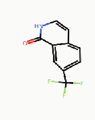 O=c1[nH]ccc2ccc(C(F)(F)F)cc12